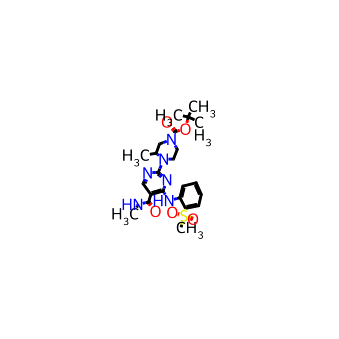 CNC(=O)c1cnc(N2CCN(C(=O)OC(C)(C)C)CC2C)nc1Nc1ccccc1S(C)(=O)=O